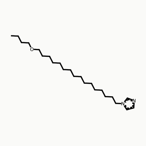 CCCCOCCCCCCCCCCCCCCCCn1ccnc1